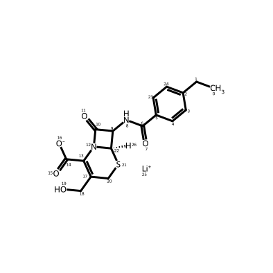 CCc1ccc(C(=O)NC2C(=O)N3C(C(=O)[O-])=C(CO)CS[C@H]23)cc1.[Li+]